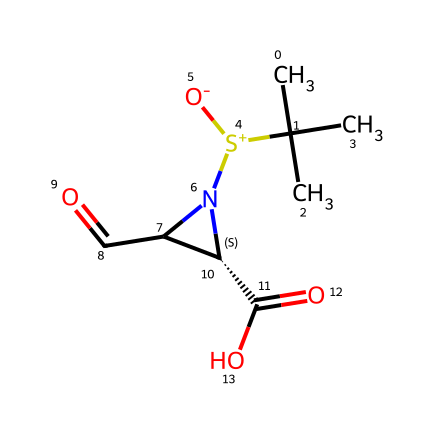 CC(C)(C)[S+]([O-])N1C(C=O)[C@H]1C(=O)O